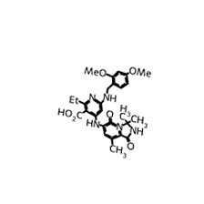 CCc1nc(NCc2ccc(OC)cc2OC)cc(Nc2cc(C)c3n(c2=O)C(C)(C)NC3=O)c1C(=O)O